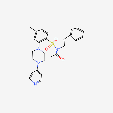 CC(=O)N(CCc1ccccc1)S(=O)(=O)c1ccc(C)cc1N1CCN(c2ccncc2)CC1